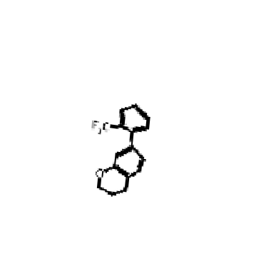 FC(F)(F)c1ccccc1-c1ccc2c(c1)OCCC2